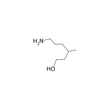 CC(CCO)CCCN